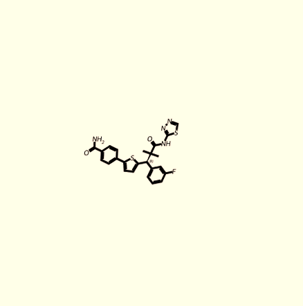 CC(C)(C(=O)Nc1nncs1)[C@@H](c1cccc(F)c1)c1ccc(-c2ccc(C(N)=O)cc2)s1